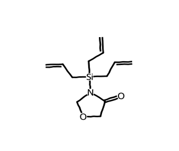 C=CC[Si](CC=C)(CC=C)N1COCC1=O